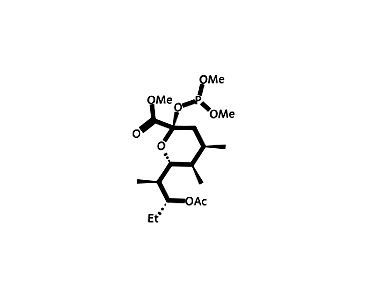 CC[C@@H](OC(C)=O)[C@@H](C)[C@@H]1O[C@](OP(OC)OC)(C(=O)OC)C[C@@H](C)[C@H]1C